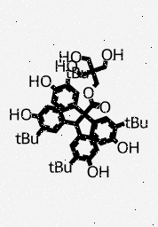 CC(C)(C)c1cc(C(c2ccc(O)c(C(C)(C)C)c2)C(C(=O)OCC(CO)(CO)CO)(c2ccc(O)c(C(C)(C)C)c2)c2ccc(O)c(C(C)(C)C)c2)ccc1O